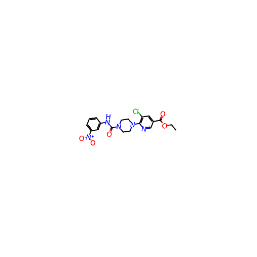 CCOC(=O)c1cnc(N2CCN(C(=O)Nc3cccc([N+](=O)[O-])c3)CC2)c(Cl)c1